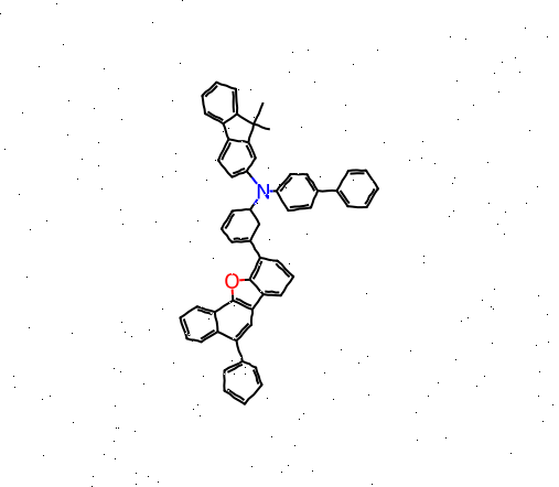 CC1(C)c2ccccc2-c2ccc(N(c3ccc(-c4ccccc4)cc3)C3C=CC=C(c4cccc5c4oc4c6ccccc6c(-c6ccccc6)cc54)C3)cc21